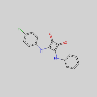 O=c1c(Nc2ccccc2)c(Nc2ccc(Cl)cc2)c1=O